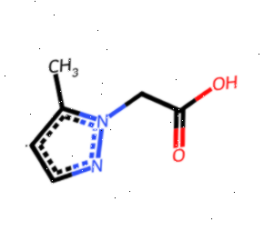 Cc1[c]cnn1CC(=O)O